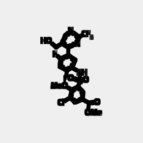 COC(=O)c1cc(Cl)c(OC)c(S(=O)(=O)Nc2cc(-c3nc(C(F)(F)F)ncc3CO)c(F)cc2F)c1